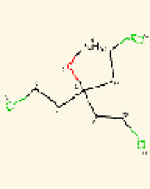 [SiH3]OC(CCCl)(CCCl)CCCl